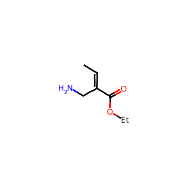 CC=C(CN)C(=O)OCC